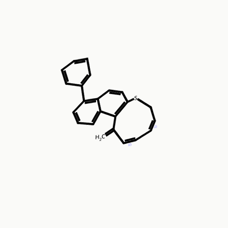 C=C1/C=C\C=C/CSc2ccc3c(-c4ccccc4)cccc3c21